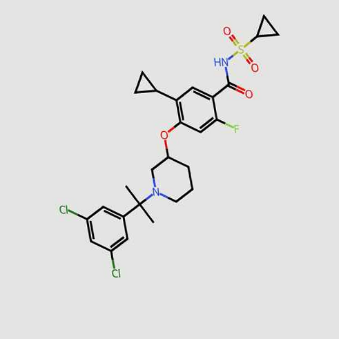 CC(C)(c1cc(Cl)cc(Cl)c1)N1CCCC(Oc2cc(F)c(C(=O)NS(=O)(=O)C3CC3)cc2C2CC2)C1